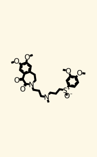 COc1ccc([S+]([O-])CCCN(C)CCCN2CCc3cc(OC)c(OC)cc3C(=O)C2=O)cc1OC